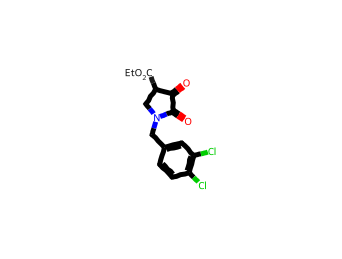 CCOC(=O)C1CN(Cc2ccc(Cl)c(Cl)c2)C(=O)C1=O